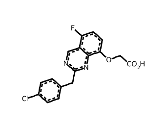 O=C(O)COc1ccc(F)c2cnc(Cc3ccc(Cl)cc3)nc12